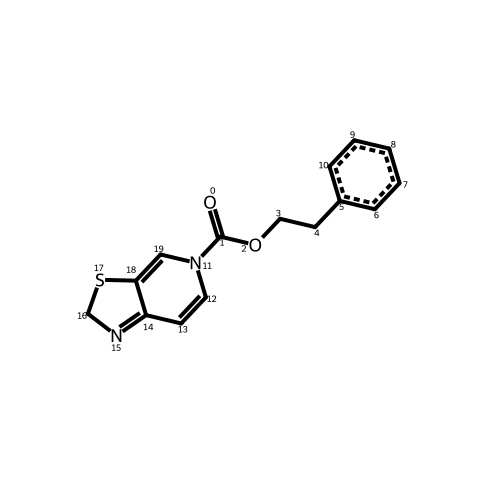 O=C(OCCc1ccccc1)N1C=CC2=NCSC2=C1